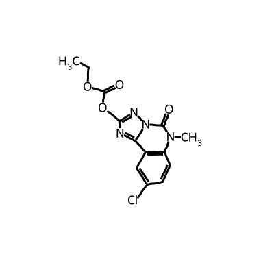 CCOC(=O)Oc1nc2c3cc(Cl)ccc3n(C)c(=O)n2n1